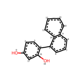 Oc1ccc(-c2cccc3ccccc23)c(O)c1